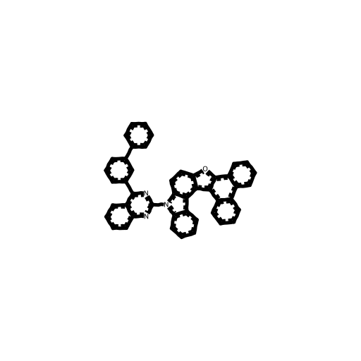 c1ccc(-c2cccc(-c3nc(-n4c5ccccc5c5c6c(ccc54)oc4c5ccccc5c5ccccc5c46)nc4ccccc34)c2)cc1